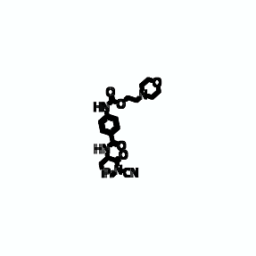 CC(C)CC(NC(=O)c1ccc(NC(=O)OCCN2CCOCC2)cc1)C(=O)N(C)C#N